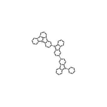 c1ccc(-n2c3ccccc3c3cc(-c4ccc5c(c4)c4ccccc4n5-c4ccc5c(c4)c4cccc6c7ccccc7n5c64)ccc32)cc1